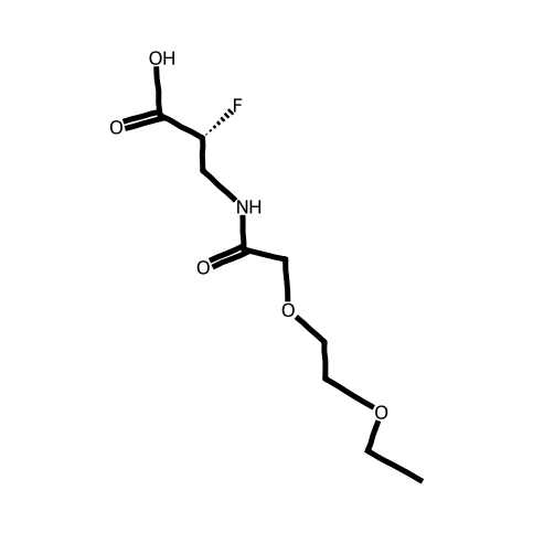 CCOCCOCC(=O)NC[C@@H](F)C(=O)O